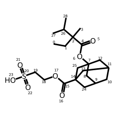 CCC(C)(C(=O)OC12CC3CC(C1)CC(C(=O)OCCS(=O)(=O)O)(C3)C2)C(C)C